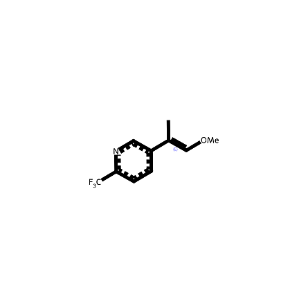 CO/C=C(\C)c1ccc(C(F)(F)F)nc1